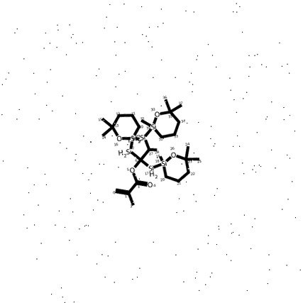 C=C(C)C(=O)OC([SiH2][Si]1(C)CCCC(C)(C)O1)([SiH2][Si]1(C)CCCC(C)(C)O1)C(C)[SiH2][Si]1(C)CCCC(C)(C)O1